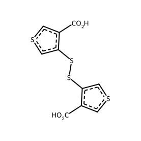 O=C(O)c1cscc1SSc1cscc1C(=O)O